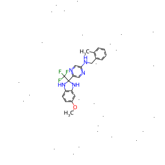 COc1ccc2c(c1)NC(c1cnc(NCc3ccccc3C)cn1)(C(F)(F)F)N2